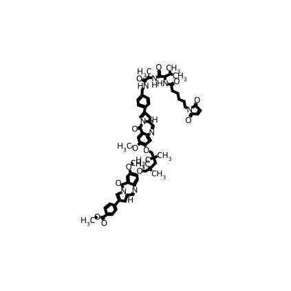 COC(=O)c1ccc(C2=CN3C(=O)c4cc(OC)c(OCC(C)(C)CC(C)(C)COc5cc6c(cc5OC)C(=O)N5C=C(c7ccc(CNC(=O)[C@H](C)NC(=O)C(NC(=O)CCCCCN8C(=O)C=CC8=O)C(C)C)cc7)C[C@H]5C=N6)cc4N=C[C@@H]3C2)cc1